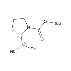 CC(C)(C)OC(=O)N1CCC[C@H]1[C@H](O)C#N